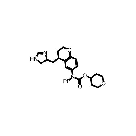 CCN(C(=O)OC1CCOCC1)c1ccc2c(c1)C(CC1CNC=N1)CCO2